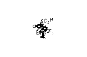 CCN(Cc1cc(C(F)(F)F)ccc1-c1cn(CC(=O)O)c2cc(Cl)ccc12)C(=O)C1CC1